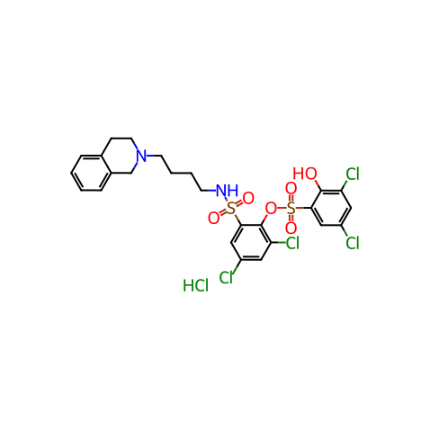 Cl.O=S(=O)(NCCCCN1CCc2ccccc2C1)c1cc(Cl)cc(Cl)c1OS(=O)(=O)c1cc(Cl)cc(Cl)c1O